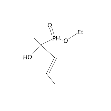 CC=CC(C)(O)[PH](=O)OCC